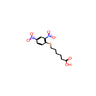 O=C(O)CCCCCSc1ccc([N+](=O)[O-])cc1[N+](=O)[O-]